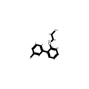 Cc1cccc(-c2ccccc2OCCI)c1